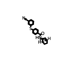 N#Cc1cccc(Sc2ccc(C(=O)N[C@@H]3C[C@H]4CC[C@@H]3N4)cc2)c1